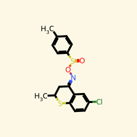 Cc1ccc(S(=O)O/N=C2\CC(C)Sc3ccc(Cl)cc32)cc1